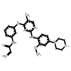 C=CC(=O)Nc1cccc(Oc2nc(Nc3ccc(N4CCOCC4)cc3OC)ncc2C)c1